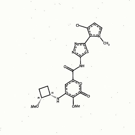 COc1c(N[C@H]2CC[C@H]2OC)cc(C(=O)Nc2nnc(-c3c(Cl)ccn3C)s2)oc1=O